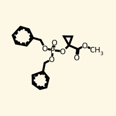 COC(=O)C1(OP(=O)(OCc2ccccc2)OCc2ccccc2)CC1